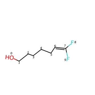 OCCCCCC=C(F)F